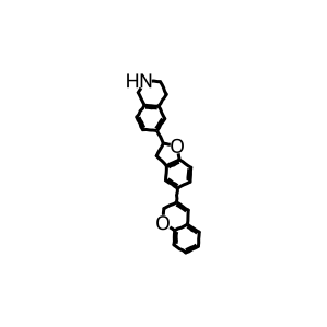 C1=C(c2ccc3c(c2)CC(c2ccc4c(c2)CCNC4)O3)COc2ccccc21